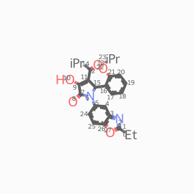 CCc1nc2cc(N3C(=O)C(O)=C(C(=O)C(C)C)C3c3ccccc3OC(C)C)ccc2o1